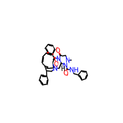 CN1CC(=O)N2[C@@H](c3ccccc3)C34C5C=C(/C=C\C=C/C3O5)C(c3ccccc3)CN4C[C@@H]2N1C(=O)NCc1ccccc1